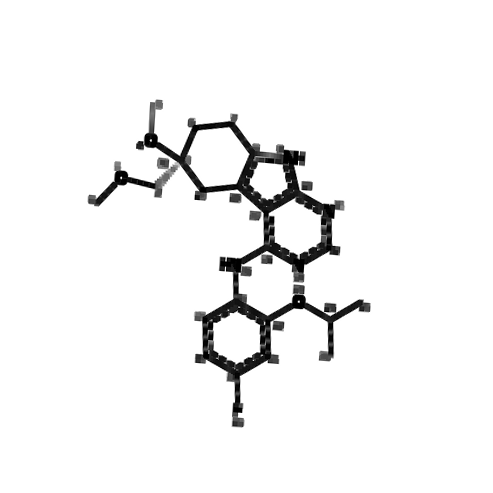 COC[C@]1(OC)CCc2[nH]c3ncnc(Nc4ccc(F)cc4OC(C)C)c3c2C1